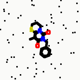 Cc1c2n(c(=O)n(Cc3ccccc3)c1=O)CCCS2